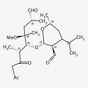 CO[C@](C)(C[C@@H](C)C=O)[C@H](O[C@@H]1O[C@H](C)CC(N(C)C)[C@H]1P=O)[C@@H](C)C(=O)CC(C)=O